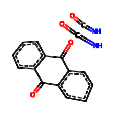 N=C=O.N=C=O.O=C1c2ccccc2C(=O)c2ccccc21